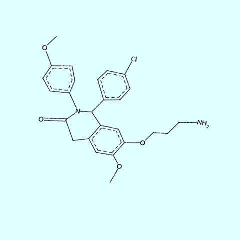 COc1ccc(N2C(=O)Cc3cc(OC)c(OCCCN)cc3C2c2ccc(Cl)cc2)cc1